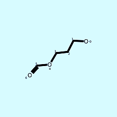 [O]CCCO[C]=O